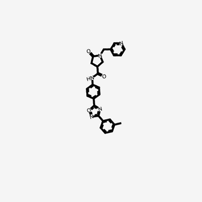 Cc1cccc(-c2noc(-c3ccc(NC(=O)C4CC(=O)N(Cc5cccnc5)C4)cc3)n2)c1